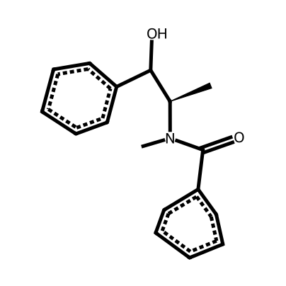 C[C@H](C(O)c1ccccc1)N(C)C(=O)c1ccccc1